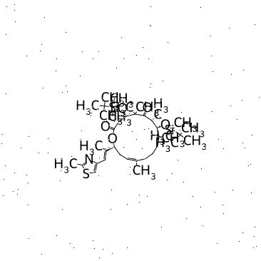 CC1=CC[C@@H](C(C)=Cc2csc(C)n2)OC(=O)C[C@H](O[Si](C)(C)C(C)(C)C)C(C)(C)C(=O)[C@H](C)[C@@H](O[Si](C)(C)C(C)(C)C)[C@@H](C)CCC1